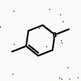 CB1CC=C(C)CC1